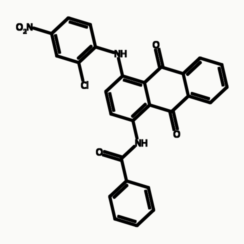 O=C(Nc1ccc(Nc2ccc([N+](=O)[O-])cc2Cl)c2c1C(=O)c1ccccc1C2=O)c1ccccc1